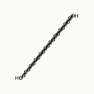 OCCOCCOCCOCCOCCOCCOCCOCCOCCOCCOCCOCCOCCOCCOCCOCCOCCOCCOCCOCCOCCO